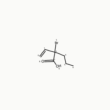 C=CC(Br)(CCC)C(=O)O